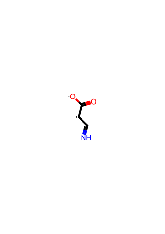 N=C[C]C([O])=O